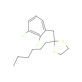 CCCCCCC1(Cc2cccc(F)c2F)SCCS1